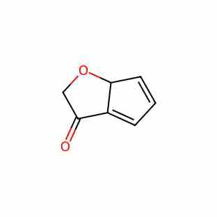 O=C1COC2C=CC=C12